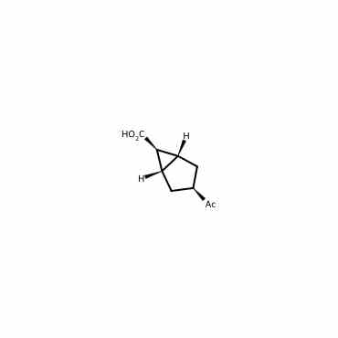 CC(=O)[C@@H]1C[C@@H]2[C@H](C1)[C@H]2C(=O)O